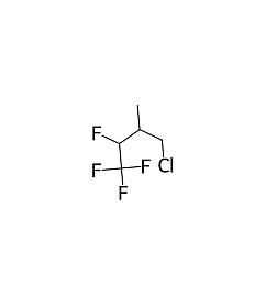 CC(CCl)C(F)C(F)(F)F